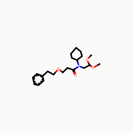 COC(CN(C(=O)CCOCCc1ccccc1)C1CCCCC1)OC